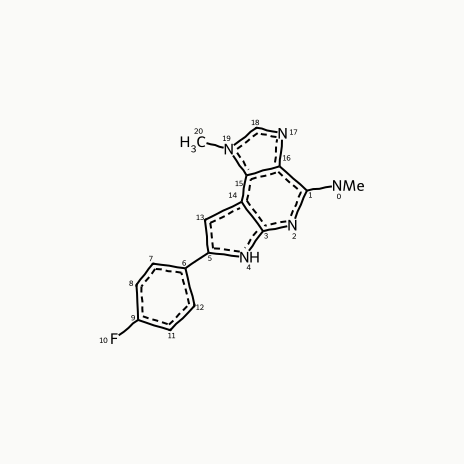 CNc1nc2[nH]c(-c3ccc(F)cc3)cc2c2c1ncn2C